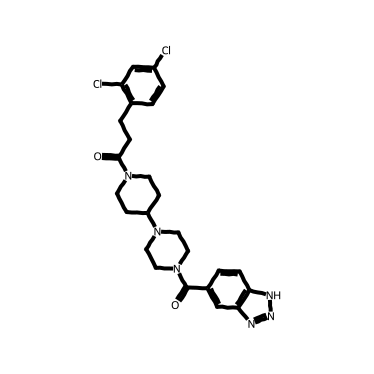 O=C(CCc1ccc(Cl)cc1Cl)N1CCC(N2CCN(C(=O)c3ccc4[nH]nnc4c3)CC2)CC1